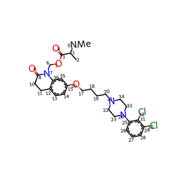 CNC(C)C(=O)OCN1C(=O)CCc2ccc(OCCCCN3CCN(c4cccc(Cl)c4Cl)CC3)cc21